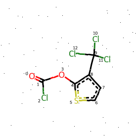 O=C(Cl)Oc1sccc1C(Cl)(Cl)Cl